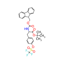 CC(C)(C)OC(=O)C(Cc1ccc(OS(=O)(=O)C(F)(F)F)cc1)NC(=O)OCC1c2ccccc2-c2ccccc21